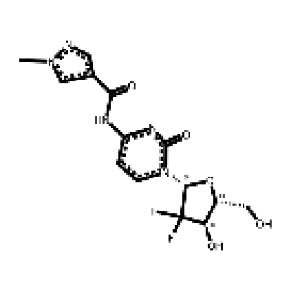 Cn1cc(C(=O)Nc2ccn([C@@H]3O[C@H](CO)[C@@H](O)C3(F)F)c(=O)n2)cn1